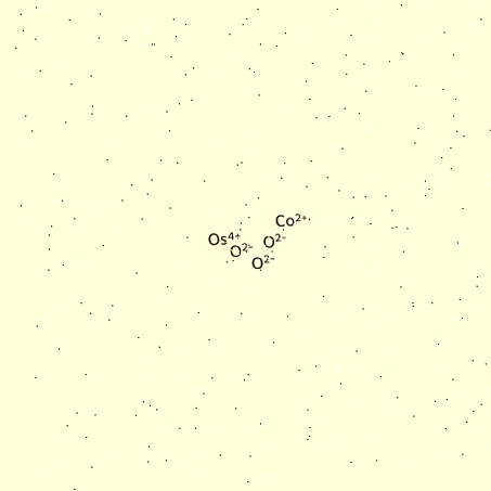 [Co+2].[O-2].[O-2].[O-2].[Os+4]